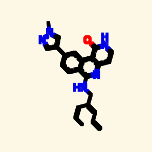 C=C/C=C(\C=C/C)CNc1nc2cc[nH]c(=O)c2c2cc(-c3cnn(C)c3)ccc12